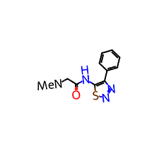 CNCC(=O)Nc1snnc1-c1ccccc1